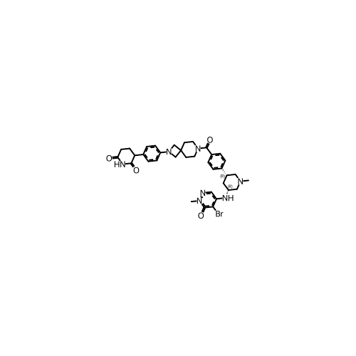 CN1C[C@H](Nc2cnn(C)c(=O)c2Br)C[C@H](c2ccc(C(=O)N3CCC4(CC3)CN(c3ccc(C5CCC(=O)NC5=O)cc3)C4)cc2)C1